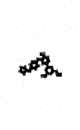 OC[C@@H]1C[C@H](O)C[C@H](c2ccc(Cl)c(Cc3ccc(OC4CCCC4)cc3)c2)O1